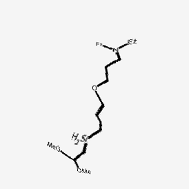 CCN(CC)CCCOCCC[SiH2]CC(OC)OC